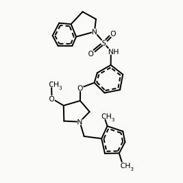 COC1CN(Cc2cc(C)ccc2C)CC1Oc1cccc(NS(=O)(=O)N2CCc3ccccc32)c1